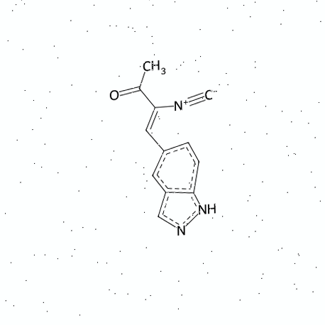 [C-]#[N+]/C(=C\c1ccc2[nH]ncc2c1)C(C)=O